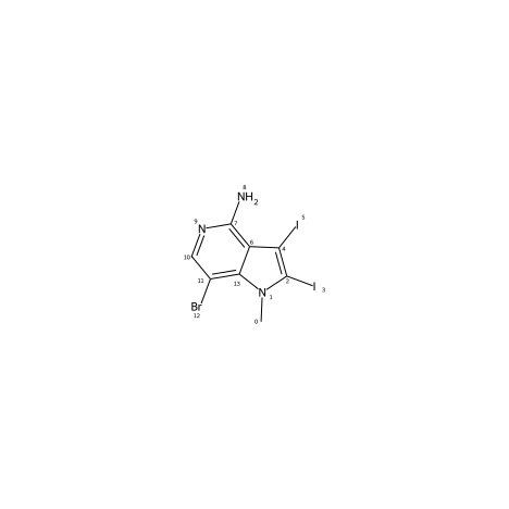 Cn1c(I)c(I)c2c(N)ncc(Br)c21